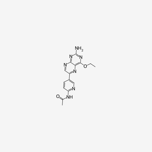 CCOc1nc(N)nc2ncc(-c3ccc(NC(C)=O)nc3)nc12